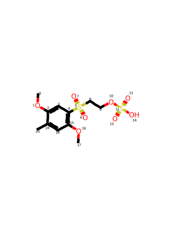 COc1cc(S(=O)(=O)CCOS(=O)(=O)O)c(OC)cc1C